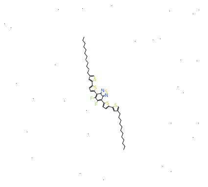 CCCCCCCCCCCCc1csc(-c2ccc(-c3c(F)c(F)c(-c4ccc(-c5cc(CCCCCCCCCCCC)cs5)s4)c4nsnc34)s2)c1